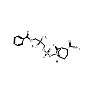 CC(C)(COC(=O)c1ccccc1)COS(=O)(=O)ON1C(=O)N2C[C@H]1CC[C@H]2C(N)=O